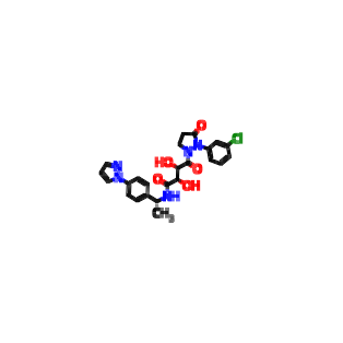 C[C@@H](NC(=O)[C@H](O)[C@@H](O)C(=O)N1CCC(=O)N1c1cccc(Cl)c1)c1ccc(-n2cccn2)cc1